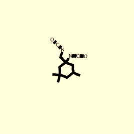 CC1CC(C)(C)CC(CN=C=O)(N=C=O)C1